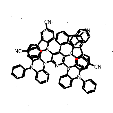 N#Cc1ccc2c(c1)c1cc(C#N)ccc1n2-c1c(N2c3ccccc3N(c3ccccc3)c3ccccc32)nc(N2c3ccccc3N(c3ccccc3)c3ccccc32)c(-n2c3ccc(C#N)cc3c3cc(C#N)ccc32)c1-c1cccc2c1sc1ccccc12